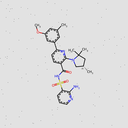 COc1cc(C)cc(-c2ccc(C(=O)NS(=O)(=O)c3cccnc3N)c(N3C[C@@H](C)CC3(C)C)n2)c1